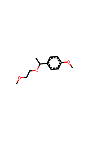 COCCOC(C)c1ccc(OC)cc1